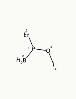 BP(CC)OI